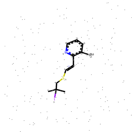 CC(C)(I)CS/C=C/c1ncccc1C(C)(C)C